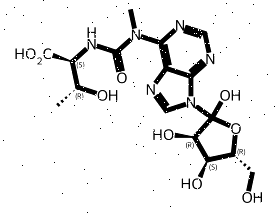 C[C@@H](O)[C@H](NC(=O)N(C)c1ncnc2c1ncn2C1(O)O[C@H](CO)[C@@H](O)[C@H]1O)C(=O)O